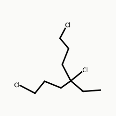 C[CH]C(Cl)(CCCCl)CCCCl